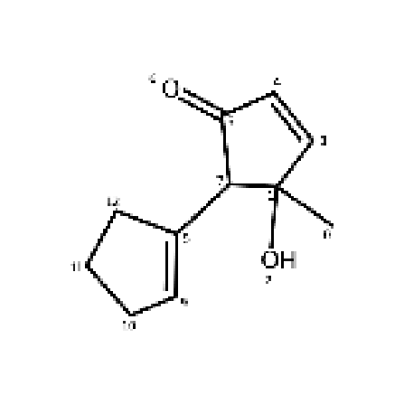 CC1(O)C=CC(=O)C1C1=CCCC1